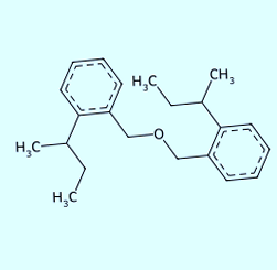 CCC(C)c1ccccc1COCc1ccccc1C(C)CC